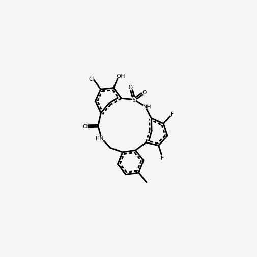 Cc1ccc2c(c1)-c1cc(c(F)cc1F)NS(=O)(=O)c1cc(cc(Cl)c1O)C(=O)NC2